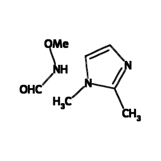 CONC=O.Cc1nccn1C